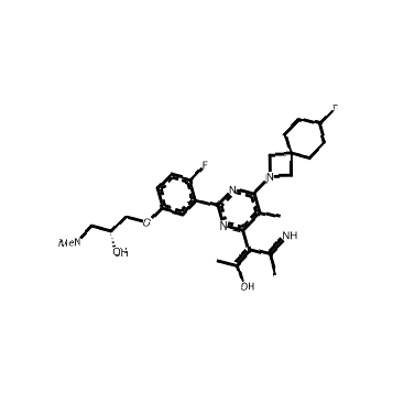 CNC[C@@H](O)COc1ccc(F)c(-c2nc(/C(C(C)=N)=C(\C)O)c(C)c(N3CC4(CCC(F)CC4)C3)n2)c1